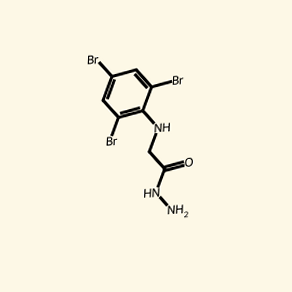 NNC(=O)CNc1c(Br)cc(Br)cc1Br